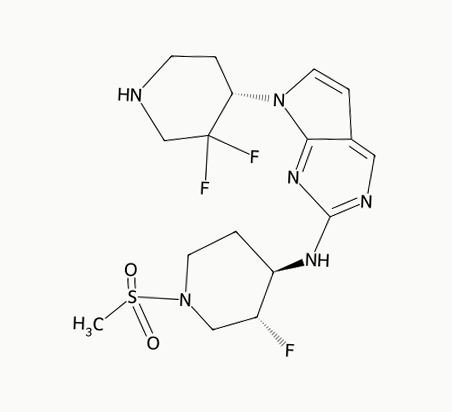 CS(=O)(=O)N1CC[C@@H](Nc2ncc3ccn([C@H]4CCNCC4(F)F)c3n2)[C@H](F)C1